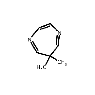 CC1(C)C=NC=CN=C1